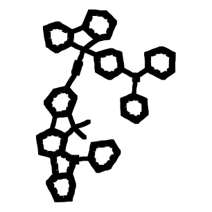 CC1(C)c2cc(C#CC3(c4ccc(N(c5ccccc5)c5ccccc5)cc4)c4ccccc4-c4ccccc43)ccc2-c2ccc3c4ccccc4n(-c4ccccc4)c3c21